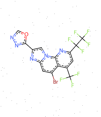 FC(F)(F)c1cc(C(F)(F)C(F)(F)F)nc2c1c(Br)cc1nc(-c3nnco3)cn12